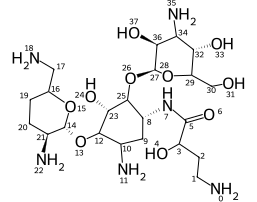 NCCC(O)C(=O)N[C@@H]1CC(N)C(O[C@H]2OC(CN)CC[C@@H]2N)[C@H](O)C1O[C@@H]1OC(CO)[C@@H](O)C(N)[C@@H]1O